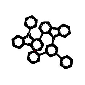 c1ccc(-c2cc(-c3ccccc3)cc(-n3c4ccccc4c4cccc(-c5cccc6c7ccccc7n(-c7ccccc7)c56)c43)c2)cc1